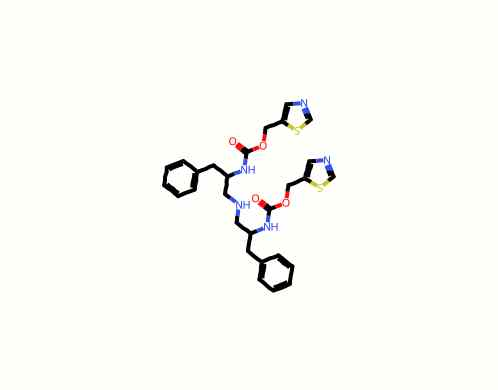 O=C(NC(CNCC(Cc1ccccc1)NC(=O)OCc1cncs1)Cc1ccccc1)OCc1cncs1